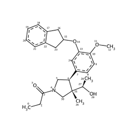 C[CH]C(=O)N1C[C@@H](c2ccc(OC)c(OC3Cc4ccccc4C3)c2)[C@](C)([C@@H](C)O)C1